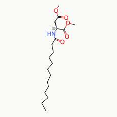 CCCCCCCCCCCCC(=O)N[C@@H](CC(=O)OC)C(=O)OC